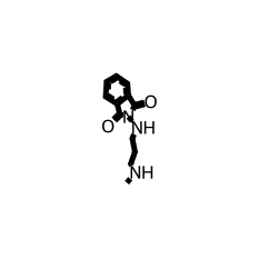 CNCCCNN1C(=O)c2ccccc2C1=O